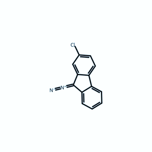 [N-]=[N+]=C1c2ccccc2-c2ccc(Cl)cc21